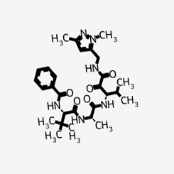 Cc1cc(CNC(=O)C(=O)[C@@H](NC(=O)[C@H](C)NC(=O)[C@@H](NC(=O)c2ccccc2)C(C)(C)C)C(C)C)n(C)n1